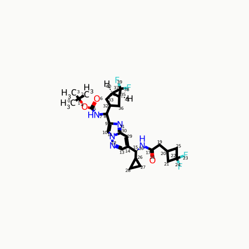 CC(C)(C)OC(=O)NC(c1cn2ncc([C@H](NC(=O)CC3CC(F)(F)C3)C3CC3)cc2n1)C1C[C@@H]2[C@H](C1)C2(F)F